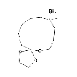 BC1(C)CCCCCC2(CCCC1)OCCO2